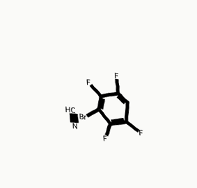 C#N.Fc1cc(F)c(F)c(Br)c1F